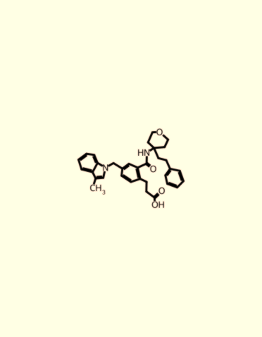 Cc1cn(Cc2ccc(CCC(=O)O)c(C(=O)NC3(CCc4ccccc4)CCOCC3)c2)c2ccccc12